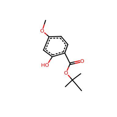 COc1ccc(C(=O)OC(C)(C)C)c(O)c1